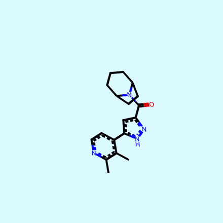 Cc1nccc(-c2cc(C(=O)N3C4CCCC3CC4)n[nH]2)c1C